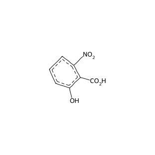 O=C(O)c1c(O)cccc1[N+](=O)[O-]